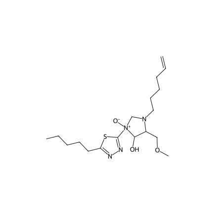 C=CCCCCN1C[N+]([O-])(c2nnc(CCCCC)s2)C(O)C1COC